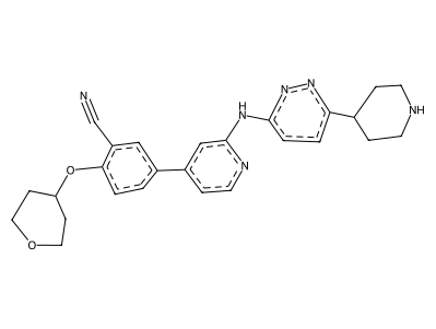 N#Cc1cc(-c2ccnc(Nc3ccc(C4CCNCC4)nn3)c2)ccc1OC1CCOCC1